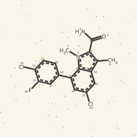 Cc1c(C(N)=O)n(C)c2c(-c3ccc(Cl)c(F)c3)cc(Cl)cc12